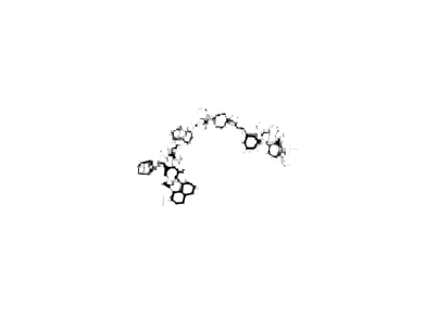 C#Cc1c(F)ccc2cccc(-c3ncc4c(N5CC6CCC(C5)N6)nc(OC[C@@]56CCCN5[C@H](COC(=O)N5CCC(OCCc7cccc8c7n(C)c(=O)n8C7CCC(=O)NC7=O)CC5)CC6)nc4c3F)c12